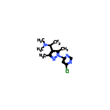 Cc1nn(-c2cc(Cl)ncn2)c(C)c1C(N(C)C)C(F)(F)F